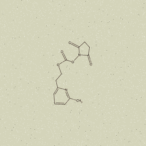 Cc1cccc(CCOC(=O)ON2C(=O)CCC2=O)n1